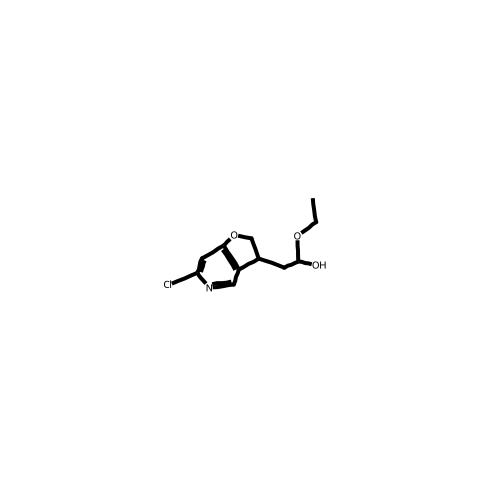 CCOC(O)CC1COc2cc(Cl)ncc21